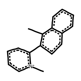 Cc1c(-c2cccc[n+]2C)ccc2ccccc12